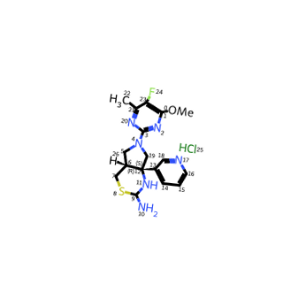 COc1nc(N2C[C@H]3CSC(N)N[C@@]3(c3cccnc3)C2)nc(C)c1F.Cl